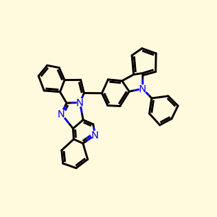 c1ccc(-n2c3ccccc3c3cc(-c4cc5ccccc5c5nc6c7ccccc7ncc6n45)ccc32)cc1